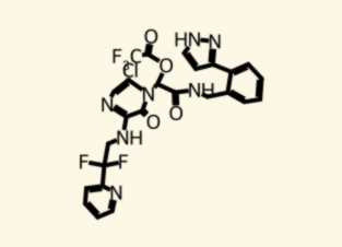 O=C(NCc1ccccc1-c1cc[nH]n1)C(OC(=O)C(F)(F)F)n1c(Cl)cnc(NCC(F)(F)c2ccccn2)c1=O